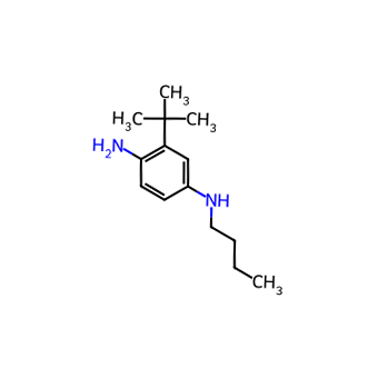 CCCCNc1ccc(N)c(C(C)(C)C)c1